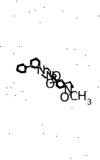 CC(=O)N1CCc2cc(S(=O)(=O)N3CCN(c4cccc(-c5ccccc5)c4)CC3)ccc21